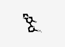 Cc1cccc(-c2cc3nccn3cc2Br)n1